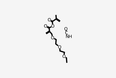 C=C(C)C(=O)OC(=O)C(=C)COCCOCCOCC.N=C=O